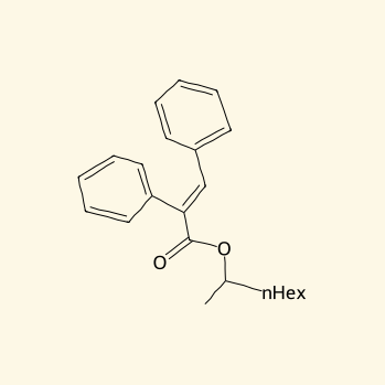 CCCCCCC(C)OC(=O)C(=Cc1ccccc1)c1ccccc1